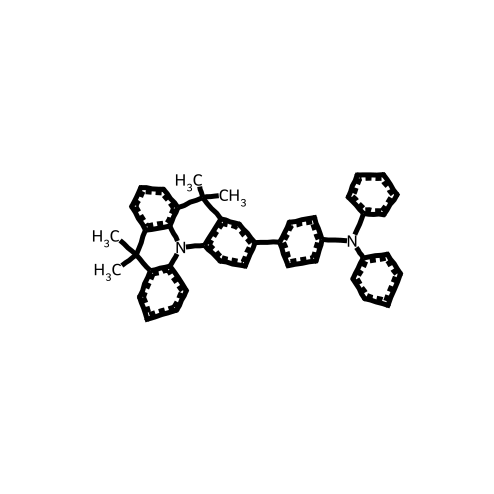 CC1(C)c2ccccc2N2c3ccc(-c4ccc(N(c5ccccc5)c5ccccc5)cc4)cc3C(C)(C)c3cccc1c32